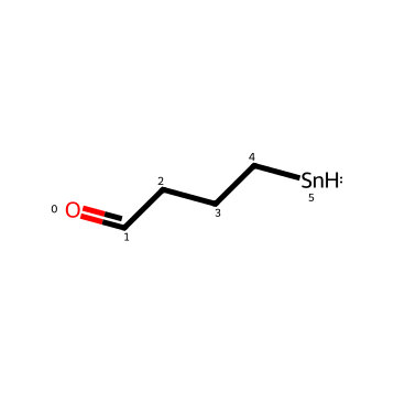 O=CCC[CH2][SnH]